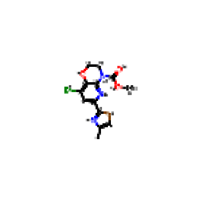 Cc1csc(-c2cc(Br)c3c(n2)N(C(=O)OC(C)(C)C)CCO3)n1